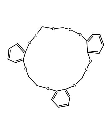 c1ccc2c(c1)OCCOCCOc1ccccc1OCCOc1ccccc1OCCO2